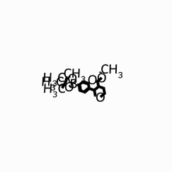 CCOC(=O)C1CCOCC1c1ccc(B2OC(C)(C)C(C)(C)O2)cc1